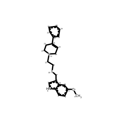 COc1ccc2[nH]cc(CSCCN3CC=C(c4ccccc4)CC3)c2c1